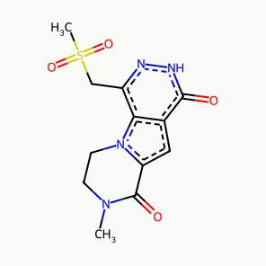 CN1CCn2c(cc3c(=O)[nH]nc(CS(C)(=O)=O)c32)C1=O